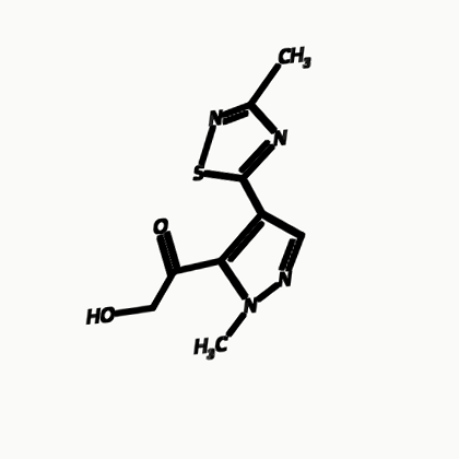 Cc1nsc(-c2cnn(C)c2C(=O)CO)n1